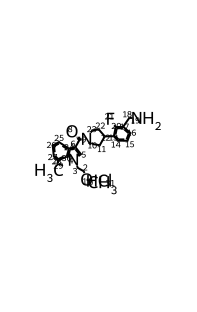 COCCn1cc(C(=O)N2CCC(c3cccc(CN)c3F)CC2)c2cccc(C)c21.Cl